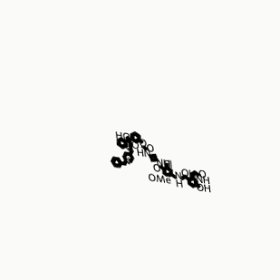 COc1cc(C(=O)N[C@H]2C[C@H](NC(=O)COc3cccc(C(O)(C(=O)OCC4CCN(Cc5ccccc5)CC4)c4ccccc4)c3)C2)c(Cl)cc1CNC[C@H](O)c1ccc(O)c2[nH]c(=O)ccc12